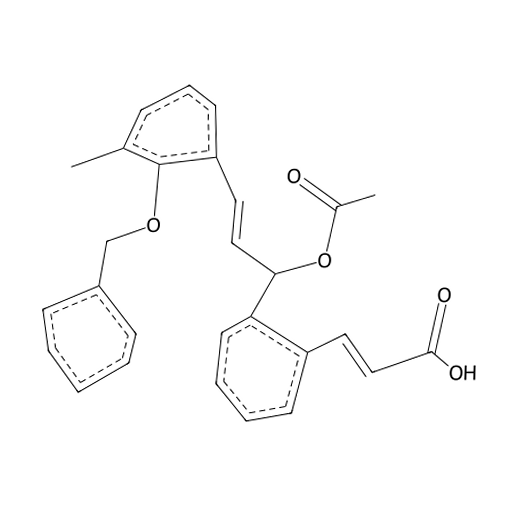 CC(=O)OC(C=Cc1cccc(C)c1OCc1ccccc1)c1ccccc1C=CC(=O)O